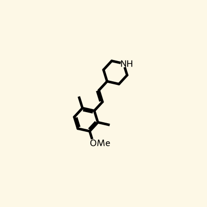 COc1ccc(C)c(/C=C/C2CCNCC2)c1C